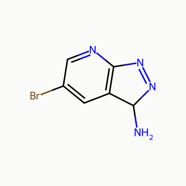 NC1N=Nc2ncc(Br)cc21